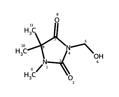 CN1C(=O)N(CO)C(=O)C1(C)C